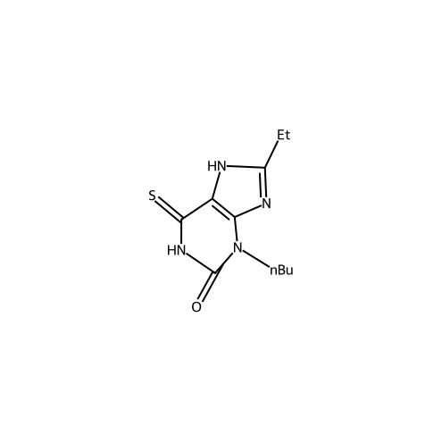 CCCCn1c(=O)[nH]c(=S)c2[nH]c(CC)nc21